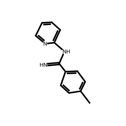 Cc1ccc(C(=N)Nc2ccccn2)cc1